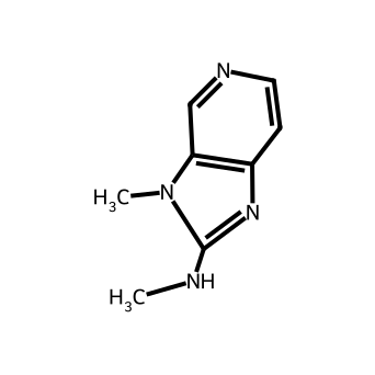 CNc1nc2ccncc2n1C